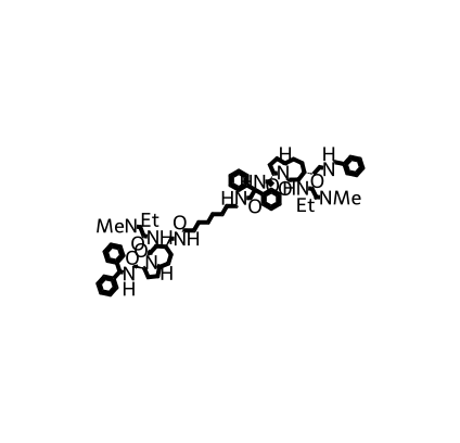 CC[C@H](NC)C(=O)N[C@@H]1C(=O)N2[C@@H](CC[C@@H]1CNC(=O)CCCCCCCNC(=O)C(NC(=O)[C@@H]1CC[C@@H]3CC[C@H](CCNCc4ccccc4)[C@H](NC(=O)[C@H](CC)NC)C(=O)N31)(c1ccccc1)c1ccccc1)CC[C@H]2C(=O)NC(c1ccccc1)c1ccccc1